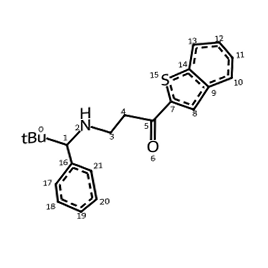 CC(C)(C)C(NCCC(=O)c1cc2ccccc2s1)c1ccccc1